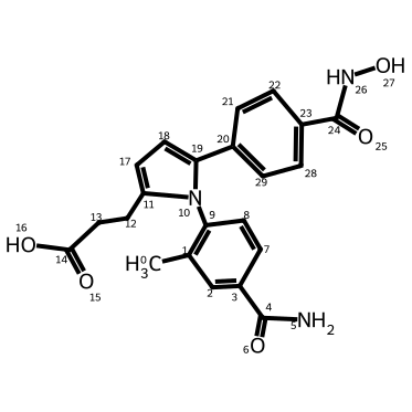 Cc1cc(C(N)=O)ccc1-n1c(CCC(=O)O)ccc1-c1ccc(C(=O)NO)cc1